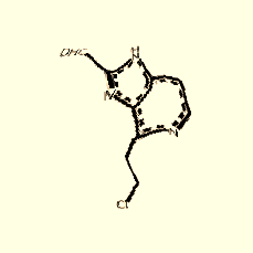 O=Cc1nc2c(CCCl)nccc2[nH]1